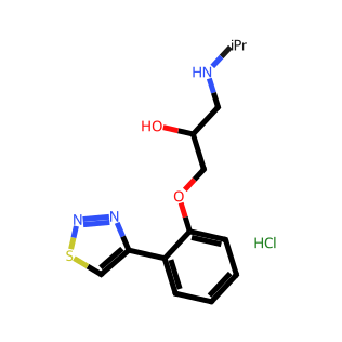 CC(C)NCC(O)COc1ccccc1-c1csnn1.Cl